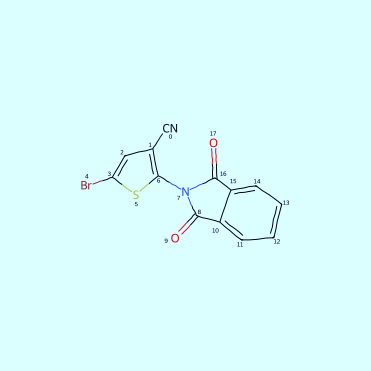 N#Cc1cc(Br)sc1N1C(=O)c2ccccc2C1=O